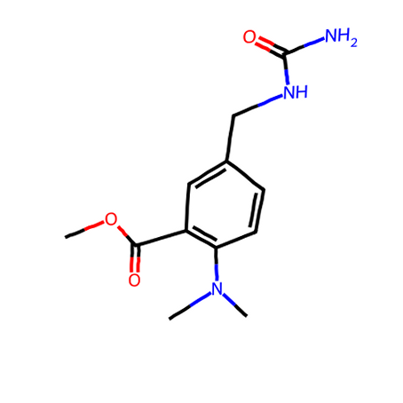 COC(=O)c1cc(CNC(N)=O)ccc1N(C)C